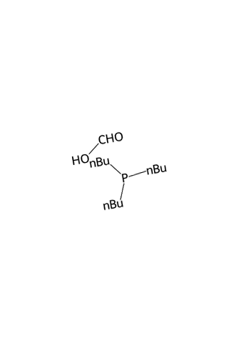 CCCCP(CCCC)CCCC.O=CO